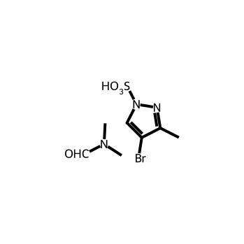 CN(C)C=O.Cc1nn(S(=O)(=O)O)cc1Br